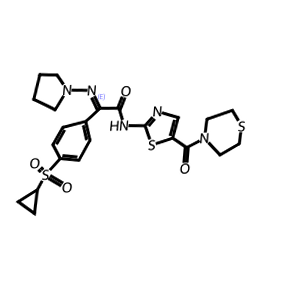 O=C(Nc1ncc(C(=O)N2CCSCC2)s1)/C(=N/N1CCCC1)c1ccc(S(=O)(=O)C2CC2)cc1